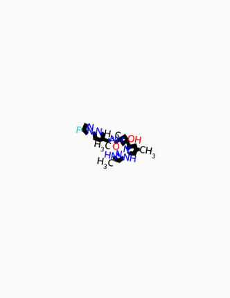 Cc1cc(Nc2cc(C)[nH]n2)nc([C@]2(O)C[C@@](C)(C(=O)N[C@@H](C)c3ccc(-n4cc(F)cn4)nc3)C2)c1